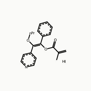 C=C(C)C(=O)OC(=C(OCCC)c1ccncc1)c1ccccc1.I